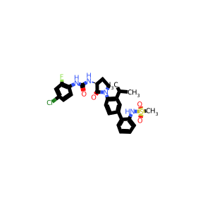 CC(C)c1cc(-c2ccccc2NS(C)(=O)=O)ccc1N1CC[C@@H](NC(=O)Nc2ccc(Cl)cc2F)C1=O